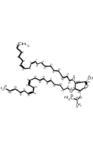 CCCCC/C=C\C/C=C\CCCCCCCCCO[C@@H]1[C@H](OCCCCCCCCC/C=C\C/C=C\CCCCC)[C@@H](CN(C)C)O[C@H]1C